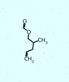 C=CCC(C)CO[C]=O